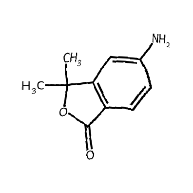 CC1(C)OC(=O)c2ccc(N)cc21